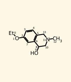 CCOc1ccc2c(c1)C(O)CN(C)C2